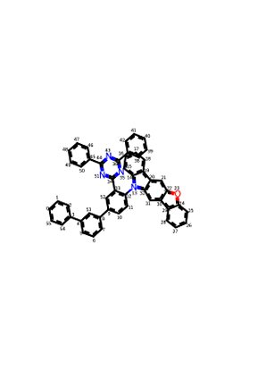 c1ccc(-c2cccc(-c3ccc(-n4c5ccccc5c5cc6oc7ccccc7c6cc54)c(-c4nc(-c5ccccc5)nc(-c5ccccc5)n4)c3)c2)cc1